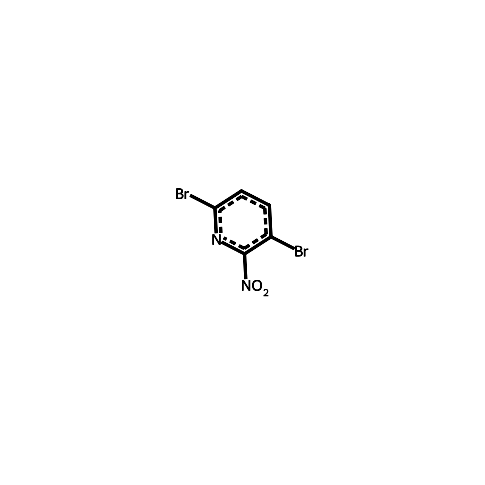 O=[N+]([O-])c1nc(Br)ccc1Br